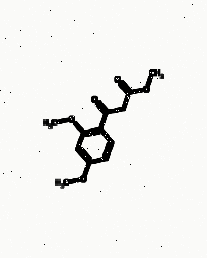 COC(=O)CC(=O)c1ccc(OC)cc1OC